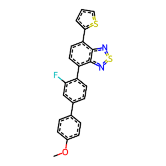 COc1ccc(-c2ccc(-c3ccc(-c4cccs4)c4nsnc34)c(F)c2)cc1